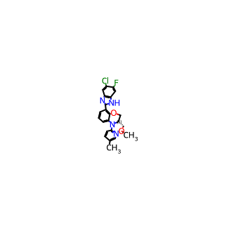 COC[C@H]1COc2c(-c3nc4cc(Cl)c(F)cc4[nH]3)cccc2N1c1ccc(C)cn1